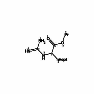 CCCCCCCC(NC(=N)N)C(=O)OC(C)C